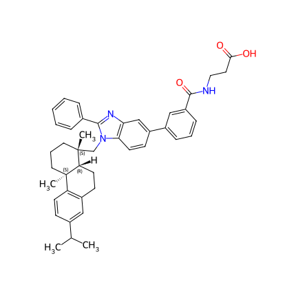 CC(C)c1ccc2c(c1)CC[C@H]1[C@@](C)(Cn3c(-c4ccccc4)nc4cc(-c5cccc(C(=O)NCCC(=O)O)c5)ccc43)CCC[C@]21C